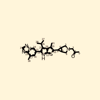 CC(=O)CN1CC2C(C1)C2c1sc2[nH]c(-c3cc(C)c4ncnn4c3)c(C(C)C)c2c1C